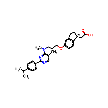 Cc1cnc(-c2ccc(C(C)C)cc2)nc1N(C)CCCOc1ccc2c(c1)CC[C@H]2CC(=O)O